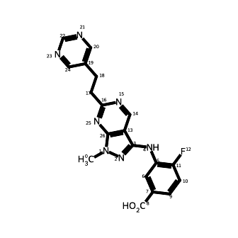 Cn1nc(Nc2cc(C(=O)O)ccc2F)c2cnc(CCc3cncnc3)nc21